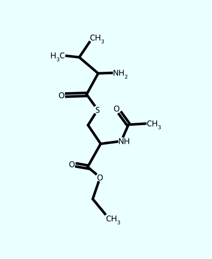 CCOC(=O)C(CSC(=O)C(N)C(C)C)NC(C)=O